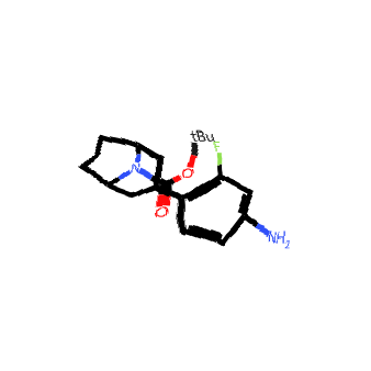 CC(C)(C)OC(=O)N1C2CCC1CC(c1ccc(N)cc1F)C2